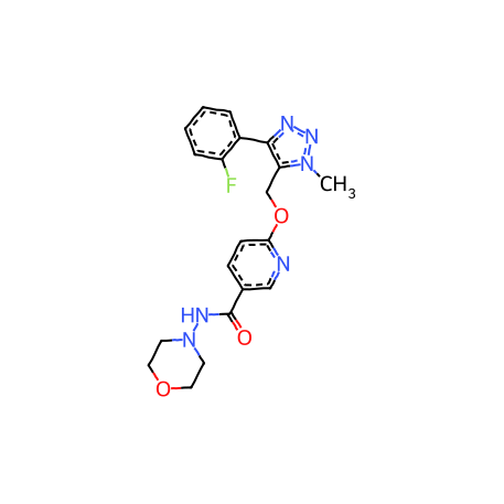 Cn1nnc(-c2ccccc2F)c1COc1ccc(C(=O)NN2CCOCC2)cn1